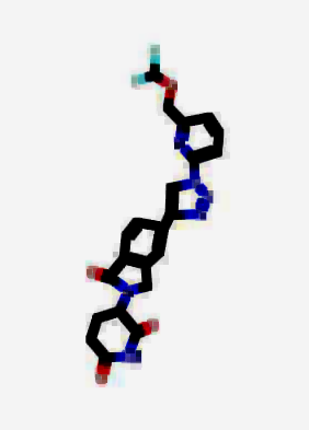 O=C1CCC(N2Cc3cc(-c4cn(-c5cccc(COC(F)F)n5)nn4)ccc3C2=O)C(=O)N1